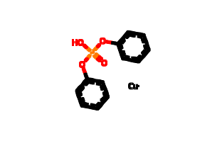 O=P(O)(Oc1ccccc1)Oc1ccccc1.[Cu]